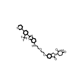 O=C1CCC(N2Cc3cc(OCCOCCNc4ccc5nc(-c6ccc(-c7cccnc7)cc6C(F)(F)F)sc5c4)ccc3C2=O)C(=O)N1